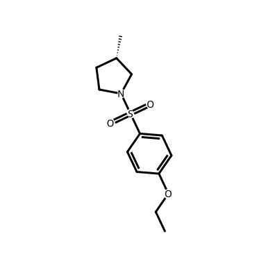 CCOc1ccc(S(=O)(=O)N2CC[C@H](C)C2)cc1